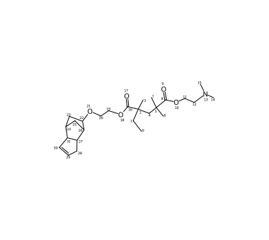 CCC(C)(CC(C)(C)C(=O)OCCN(C)C)C(=O)OCCOC1CC2CC1C1CC=CC21